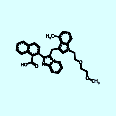 COCCOCCn1cc(Cc2c(-c3ccc4ccccc4c3C(=O)O)nc3ccccn23)c2c(C)cccc21